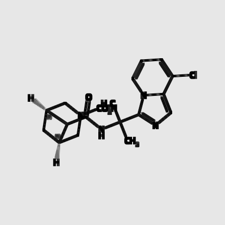 CC(C)(NC(=O)C1[C@@H]2C[C@H]1CN(C(=O)O)C2)c1ncc2c(Cl)cccn12